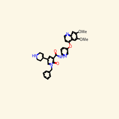 COc1cc2nccc(Oc3ccc(NC(=O)c4cc(C5=CCNCC5)cn(Cc5ccccc5)c4=O)nc3)c2cc1OC